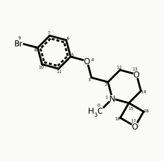 CN1C(COc2ccc(Br)cc2)COCC12COC2